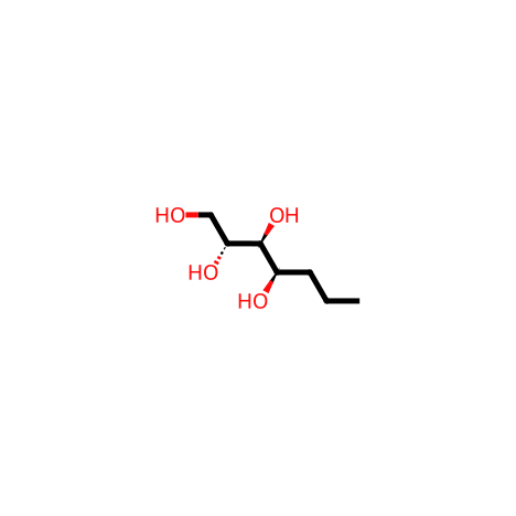 CCC[C@@H](O)[C@H](O)[C@H](O)CO